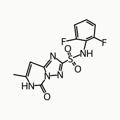 Cc1cc2nc(S(=O)(=O)Nc3c(F)cccc3F)nn2c(=O)[nH]1